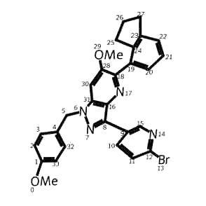 COc1ccc(Cn2nc(-c3ccc(Br)nc3)c3nc(-c4cccc5c4CCC5)c(OC)cc32)cc1